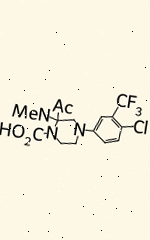 CNC1(C(C)=O)CN(c2ccc(Cl)c(C(F)(F)F)c2)CCN1C(=O)O